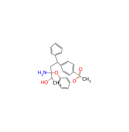 CC(O)C(N)(CC(c1ccccc1)c1ccc(S(C)(=O)=O)cc1)Oc1ccccc1